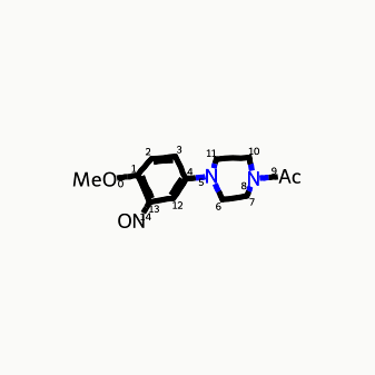 COc1ccc(N2CCN(C(C)=O)CC2)cc1N=O